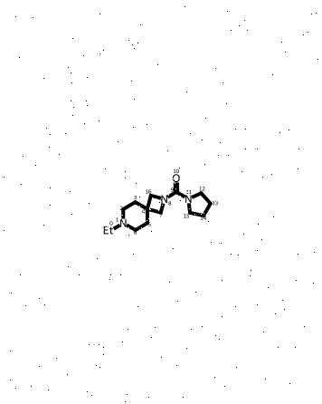 CCN1CCC2(CC1)CN(C(=O)N1CCCC1)C2